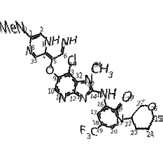 CNC1=CN/C(=C(\C=N)Oc2cnc3nc(Nc4cc(C(F)(F)F)cn(C5CCCOC5)c4=O)n(C)c3c2Cl)C=N1